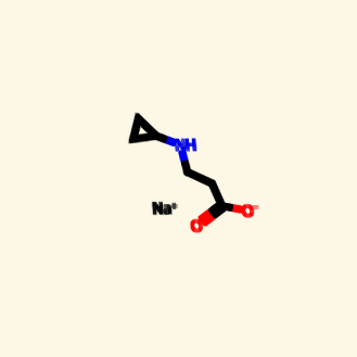 O=C([O-])CCNC1CC1.[Na+]